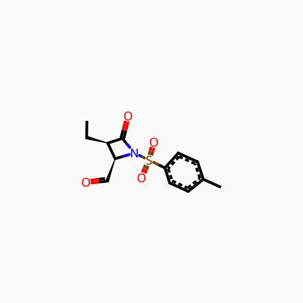 CC[C@H]1C(=O)N(S(=O)(=O)c2ccc(C)cc2)[C@H]1C=O